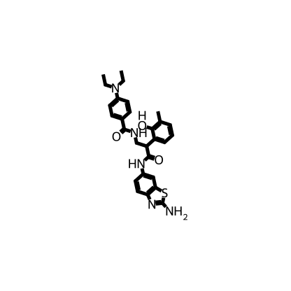 CCN(CC)c1ccc(C(=O)NCC(C(=O)Nc2ccc3nc(N)sc3c2)c2cccc(C)c2O)cc1